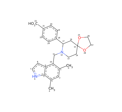 Cc1cc(C)c2[nH]ccc2c1CN1CCC2(CC1c1ccc(C(=O)O)cc1)OCCO2